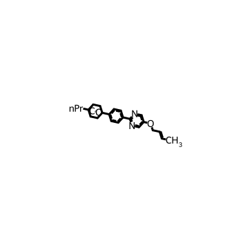 CC=CCOc1cnc(-c2ccc(C34CCC(CCC)(CC3)CC4)cc2)nc1